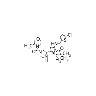 CC1COCCN1C(=O)N1CCNC(c2cc(NCc3ccc(Cl)s3)n(C(=O)C(C)(C)C)n2)C1